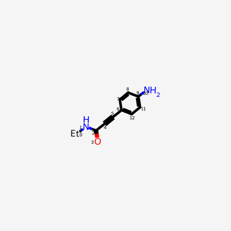 CCNC(=O)C#Cc1ccc(N)cc1